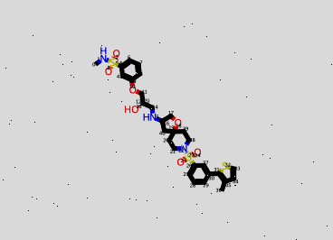 CNS(=O)(=O)c1cccc(OC[C@@H](O)CNC2COC3(CCN(S(=O)(=O)c4cccc(-c5sccc5C)c4)CC3)C2)c1